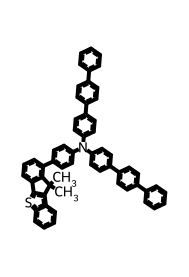 CC1(C)c2c(-c3ccc(N(c4ccc(-c5ccc(-c6ccccc6)cc5)cc4)c4ccc(-c5ccc(-c6ccccc6)cc5)cc4)cc3)cccc2-c2sc3ccccc3c21